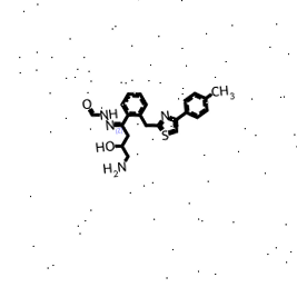 Cc1ccc(-c2csc(Cc3ccccc3/C(CC(O)CN)=N\NC=O)n2)cc1